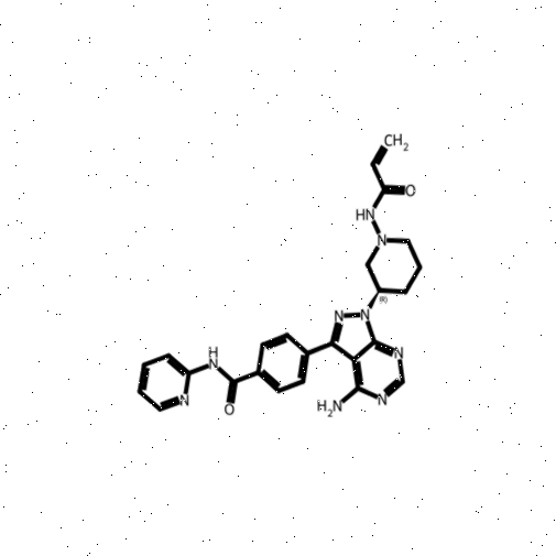 C=CC(=O)NN1CCC[C@@H](n2nc(-c3ccc(C(=O)Nc4ccccn4)cc3)c3c(N)ncnc32)C1